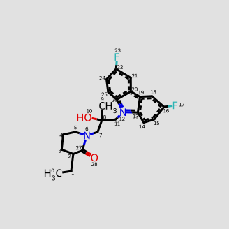 CCC1CCCN(CC(C)(O)Cn2c3ccc(F)cc3c3cc(F)ccc32)C1=O